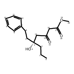 CCC[C@@](O)(CCc1ccccc1)CC(=O)CC(=O)OC